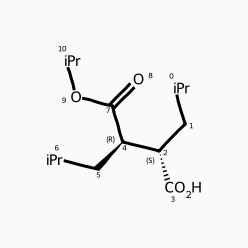 CC(C)C[C@H](C(=O)O)[C@@H](CC(C)C)C(=O)OC(C)C